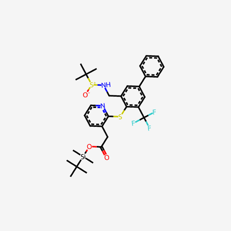 CC(C)(C)[S+]([O-])NCc1cc(-c2ccccc2)cc(C(F)(F)F)c1Sc1ncccc1CC(=O)O[Si](C)(C)C(C)(C)C